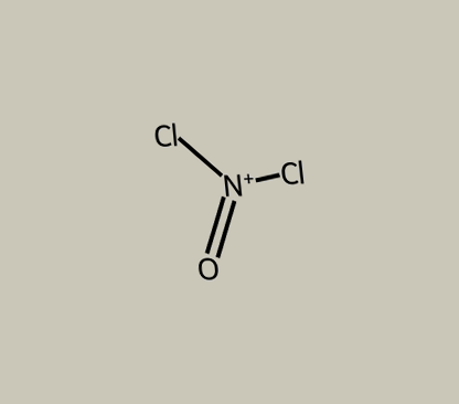 O=[N+](Cl)Cl